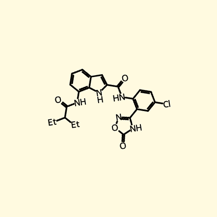 CCC(CC)C(=O)Nc1cccc2cc(C(=O)Nc3ccc(Cl)cc3-c3noc(=O)[nH]3)[nH]c12